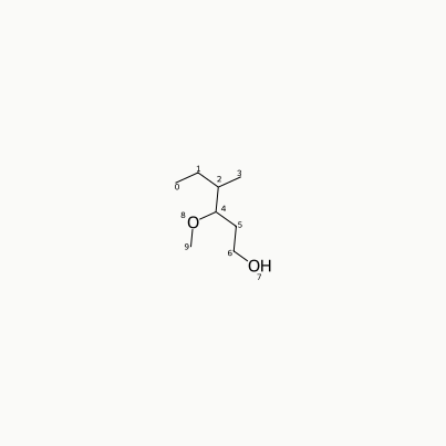 CCC(C)C(CCO)OC